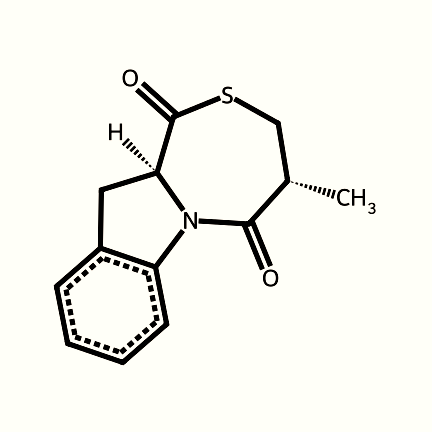 C[C@H]1CSC(=O)[C@@H]2Cc3ccccc3N2C1=O